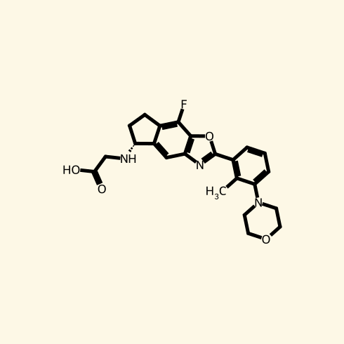 Cc1c(-c2nc3cc4c(c(F)c3o2)CC[C@H]4NCC(=O)O)cccc1N1CCOCC1